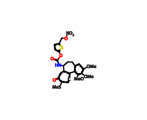 COc1cc2c(c(OC)c1OC)-c1ccc(SC)c(=O)cc1[C@@H](NC(=O)Oc1ccc(CO[N+](=O)[O-])s1)CC2